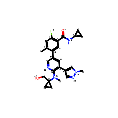 Cc1cc(F)c(C(=O)NC2CC2)cc1-c1cnc(N(C)C2(CO)CC2)c(-c2cnn(C)c2)c1